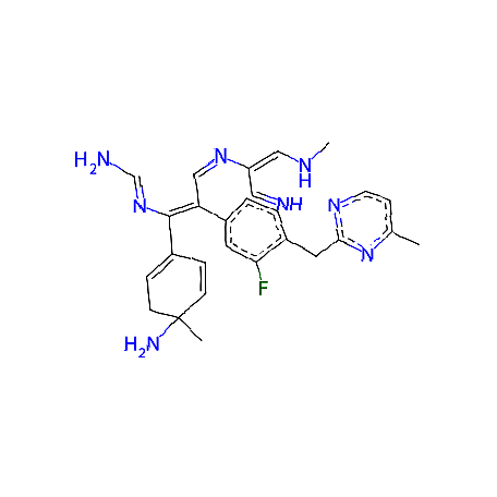 CN/C=C(C=N)/N=C\C(=C(/N=C/N)C1=CCC(C)(N)C=C1)c1ccc(Cc2nccc(C)n2)c(F)c1